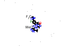 C=N/C(=N\C1=C(C)N(C)C(=O)C2(CC2)N1Cc1ccc(-c2nc(C(F)(F)F)cn2C)c(F)c1)c1c(OC)ncnc1C1CC1